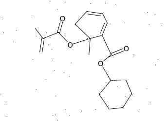 C=C(C)C(=O)OC1(C)CC=CC=C1C(=O)OC1CCCCC1